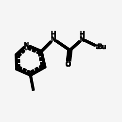 Cc1ccnc(NC(=O)NC(C)(C)C)c1